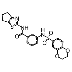 O=C(Nc1nc2c(s1)CCC2)c1cccc(NS(=O)(=O)c2ccc3c(c2)OCCO3)c1